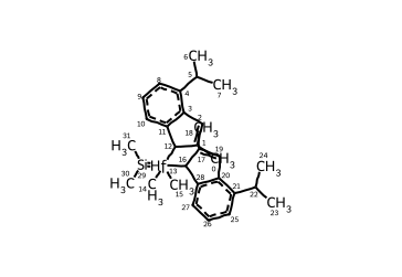 CC1=Cc2c(C(C)C)cccc2[CH]1[Hf]([CH3])([CH3])([CH]1C(C)=Cc2c(C(C)C)cccc21)=[Si](C)C